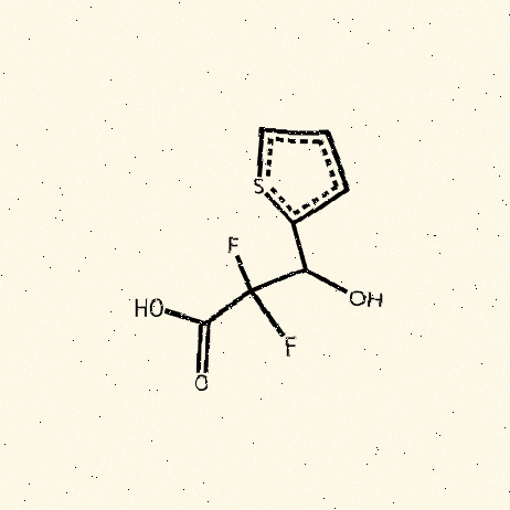 O=C(O)C(F)(F)C(O)c1cccs1